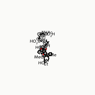 CCC1(O)CC2CN(CCC3c4ccccc4NC3[C@@](C(=O)OC)(c3cc4c(cc3OC)N(C)[C@@H]3C45CCN4CC=C[C@](CC)([C@H]45)[C@@H](O)[C@]3(O)C(=O)NNC(=O)OC(C)C(C)SSC[C@H](NC(=O)[C@H](CC(=O)O)NC(=O)[C@H](CC(=O)O)NC(C)=O)C(=O)O)C2)C1